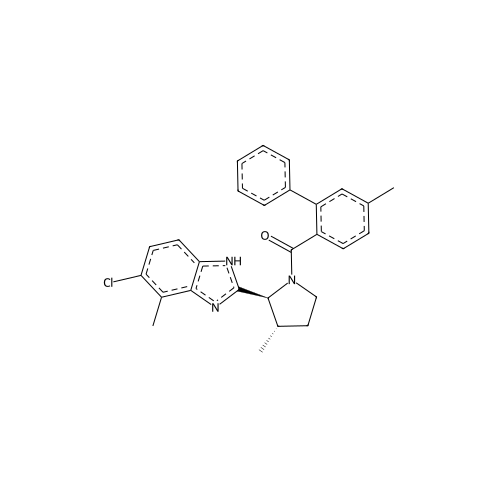 Cc1ccc(C(=O)N2CC[C@H](C)[C@H]2c2nc3c(C)c(Cl)ccc3[nH]2)c(-c2ccccc2)c1